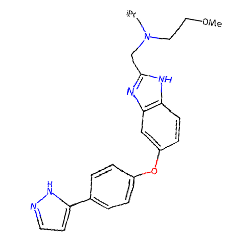 COCCN(Cc1nc2cc(Oc3ccc(-c4ccn[nH]4)cc3)ccc2[nH]1)C(C)C